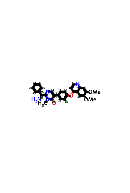 COc1cc2nccc(Oc3ccc(-c4cnc([C@H](N)c5ccccc5)n(C)c4=O)cc3F)c2cc1OC